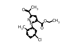 CCOC(=O)c1cc(C(C)=O)nn1-c1cc(Cl)ccc1C